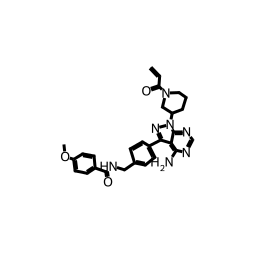 C=CC(=O)N1CCCC(n2nc(-c3ccc(CNC(=O)c4ccc(OC)cc4)cc3)c3c(N)ncnc32)C1